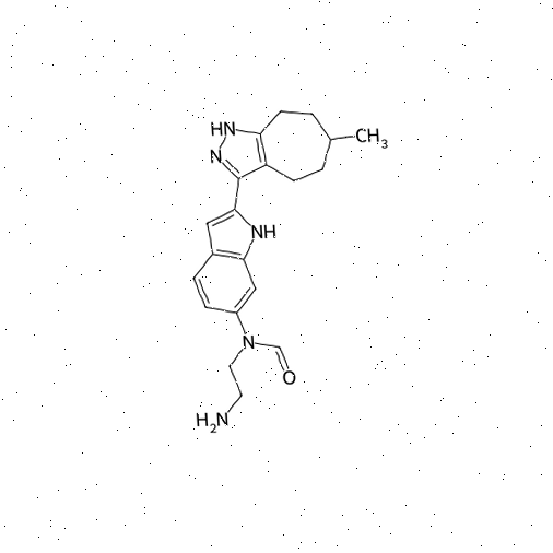 CC1CCc2[nH]nc(-c3cc4ccc(N(C=O)CCN)cc4[nH]3)c2CC1